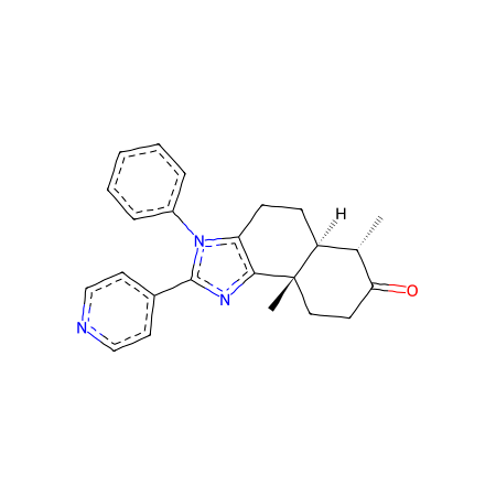 C[C@@H]1C(=O)CC[C@]2(C)c3nc(-c4ccncc4)n(-c4ccccc4)c3CC[C@@H]12